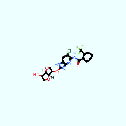 O=C(Nc1nc2nc(O[C@@H]3CO[C@H]4[C@@H]3OC[C@H]4O)[nH]c2cc1Cl)c1ccccc1C(F)(F)F